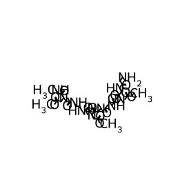 CNCC(=O)N(CC(=O)NCCNC(=O)CN(CC(=O)OC)C(=O)CNC(=O)CNC(=O)CN(CC(=O)OC)C(=O)CNC(=O)CN)CC(=O)OC